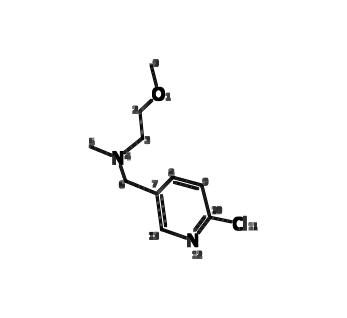 COCCN(C)Cc1ccc(Cl)nc1